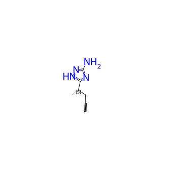 C#CC[C@H](C)c1nc(N)n[nH]1